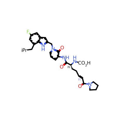 CC(C)Cc1cc(F)cc2cc(Cn3cccc(NC(=O)[C@H](CC/C=C/C(=O)N4CCCC4)NC(=O)O)c3=O)[nH]c12